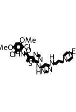 CCN1CCN(CCCNc2cc(Nc3ncnc4c(C(=O)Nc5c(Cl)c(OC)cc(OC)c5Cl)csc34)ncn2)CC1